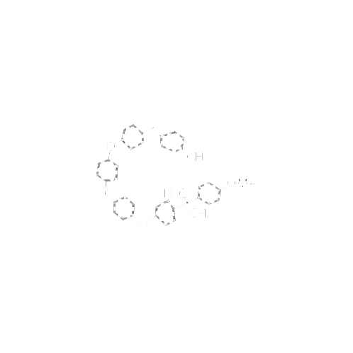 COc1ccc(C(C)(C)c2ccc(Oc3ccc(Cc4ccc(Oc5ccc(Cc6ccc(C)cc6)cc5)cc4)cc3)cc2)cc1